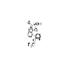 CC(C)(O)C(C1CC1)N1Cc2cccc(-c3cccnc3OCC(F)(F)F)c2C1=O